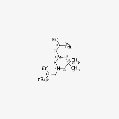 CCCCC(CC)CN1CN(CC(CC)CCCC)CC(C)(C)C1